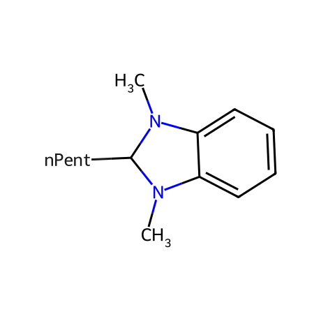 CCCCCC1N(C)c2ccccc2N1C